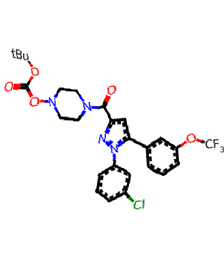 CC(C)(C)OC(=O)ON1CCN(C(=O)c2cc(-c3cccc(OC(F)(F)F)c3)n(-c3cccc(Cl)c3)n2)CC1